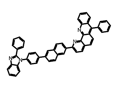 c1ccc(-c2c3ccccc3nc3c2ccc2ccc(-c4ccc5cc(-c6ccc(-n7c(-c8ccccc8)nc8ccccc87)cc6)ccc5c4)nc23)cc1